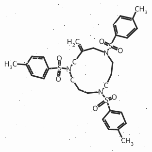 C=C1CN(S(=O)(=O)c2ccc(C)cc2)CCCN(S(=O)(=O)c2ccc(C)cc2)CCCN(S(=O)(=O)c2ccc(C)cc2)C1